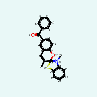 CC1=Cc2cc(C(=O)c3ccccc3)ccc2OC12Sc1ccccc1N2C